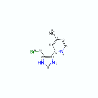 N#Cc1ccnc(-c2nc[nH]c2CBr)c1